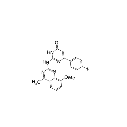 COc1cccc2c(C)nc(Nc3nc(-c4ccc(F)cc4)cc(=O)[nH]3)nc12